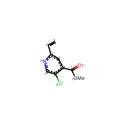 C=Cc1cc(C(=O)OC)c(Cl)cn1